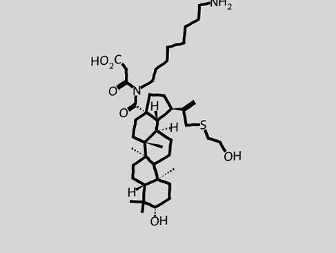 C=C(CSCCO)[C@@H]1CC[C@]2(C(=O)N(CCCCCCCCN)C(=O)CC(=O)O)CC[C@]3(C)[C@H](CCC4[C@@]5(C)CC[C@H](O)C(C)(C)[C@@H]5CC[C@]43C)[C@@H]12